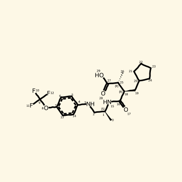 C[C@@H](CNc1ccc(OC(F)(F)F)cc1)NC(=O)[C@H](CC1CCCC1)[C@@H](C)C(=O)O